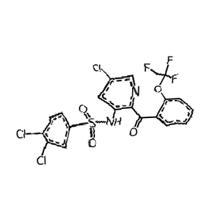 O=C(c1ccccc1OC(F)(F)F)c1ncc(Cl)cc1NS(=O)(=O)c1ccc(Cl)c(Cl)c1